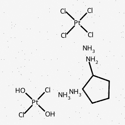 N.N.N.NC1CCCC1.[Cl][Pt]([Cl])([Cl])[Cl].[OH][Pt]([OH])([Cl])[Cl]